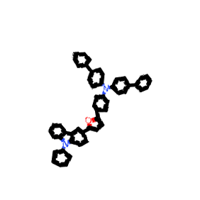 c1ccc(-c2ccc(N(c3ccc(-c4ccccc4)cc3)c3ccc(-c4ccc(-c5ccc6c(c5)c5ccccc5n6-c5ccccc5)o4)cc3)cc2)cc1